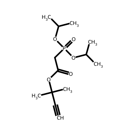 C#CC(C)(C)OC(=O)CP(=O)(OC(C)C)OC(C)C